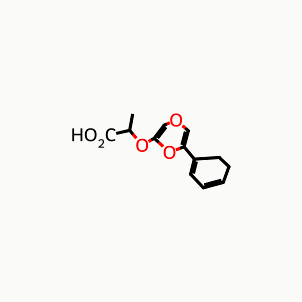 CC(OC1=COC=C(C2=CC=CCC2)O1)C(=O)O